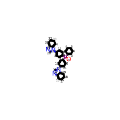 O=P(c1ccccc1)(c1ccc(-n2cnc3ccccc32)cc1)c1ccc(-n2cnc3ccccc32)cc1